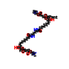 CCCCCC(OC(=O)CCCC(=O)OCC[N+](C)(C)C)C(O)C/C=C\CCCCCCCC(=O)NCCCCCCNC(=O)CCCCCCC/C=C\CC(O)C(CCCCC)OC(=O)CCCC(=O)OCC[N+](C)(C)C